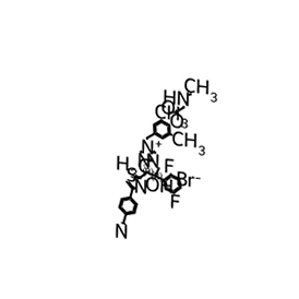 CCNCC(=O)Oc1c(C)cc(C[n+]2cnn(C[C@](O)(c3cc(F)ccc3F)[C@@H](C)c3nc(-c4ccc(C#N)cc4)cs3)c2)cc1C.[Br-]